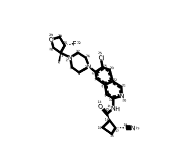 C[C@@]1(N2CCN(c3cc4cc(NC(=O)[C@@H]5CC[C@H]5C#N)ncc4cc3Cl)CC2)COC[C@@H]1F